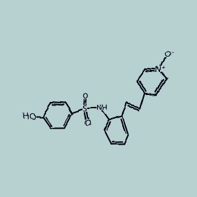 O=S(=O)(Nc1ccccc1C=Cc1cc[n+]([O-])cc1)c1ccc(O)cc1